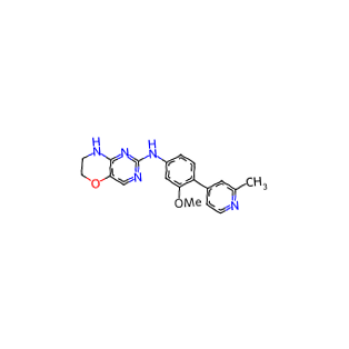 COc1cc(Nc2ncc3c(n2)NCCO3)ccc1-c1ccnc(C)c1